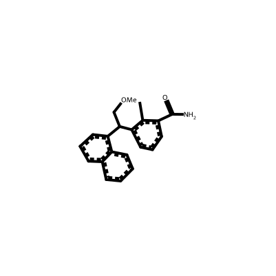 COCC(c1cccc(C(N)=O)c1C)c1cccc2ccccc12